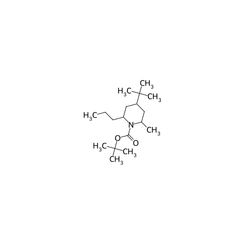 CCCC1CC(C(C)(C)C)CC(C)N1C(=O)OC(C)(C)C